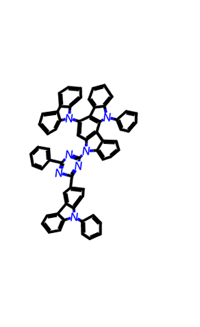 c1ccc(-c2nc(-c3ccc4c(c3)c3ccccc3n4-c3ccccc3)nc(-n3c4ccccc4c4c3cc(-n3c5ccccc5c5ccccc53)c3c5ccccc5n(-c5ccccc5)c34)n2)cc1